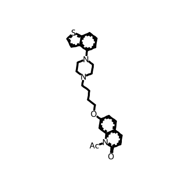 CC(=O)n1c(=O)ccc2ccc(OCCCCN3CCN(c4cccc5sccc45)CC3)cc21